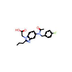 CCCc1nc2cc(N(Cc3ccc(F)cc3)C(C)=O)ccc2n1CC(=O)O